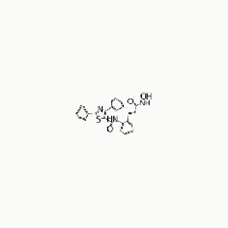 O=C(C=Cc1ccccc1NC(=O)c1sc(-c2ccccc2)nc1-c1ccccc1)NO